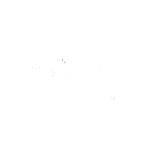 CNC1CC(C)NC(Nc2cc3c(c(C4C[C@H]5CNC[C@H]5C4)c2)OCCC3)N1